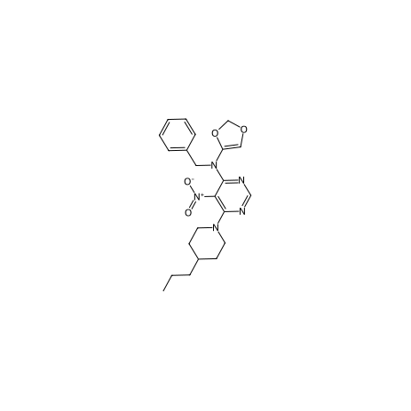 CCCC1CCN(c2ncnc(N(Cc3ccccc3)C3=COCO3)c2[N+](=O)[O-])CC1